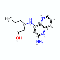 CCCC(CCO)Nc1cc(N)nc2cccnc12